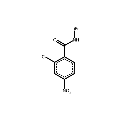 CC(C)NC(=O)c1ccc([N+](=O)[O-])cc1Cl